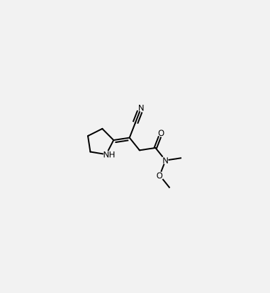 CON(C)C(=O)CC(C#N)=C1CCCN1